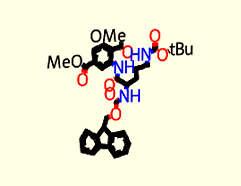 COC(=O)c1ccc(C(=O)OC)c(NC(=O)C(CCCNC(=O)OC(C)(C)C)NC(=O)OCC2c3ccccc3-c3ccccc32)c1